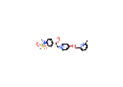 Cc1cccc(COc2cc[n+](CC(=O)c3ccc(N(C)S(C)(=O)=O)cc3)cc2)n1